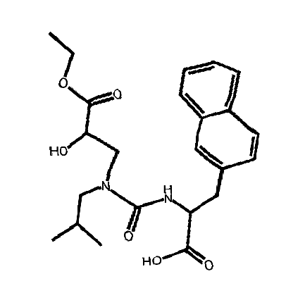 CCOC(=O)C(O)CN(CC(C)C)C(=O)NC(Cc1ccc2ccccc2c1)C(=O)O